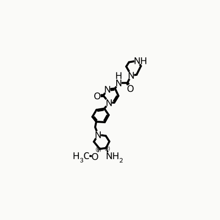 CO[C@@H]1CN(Cc2ccc(-n3ccc(NC(=O)N4CCNCC4)nc3=O)cc2)CC[C@H]1N